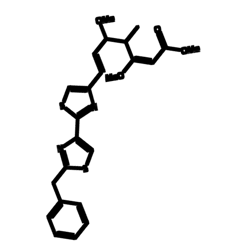 COC(=O)/C=C(/OC)C(C)C(/C=C/c1csc(-c2csc(Cc3ccccc3)n2)n1)OC